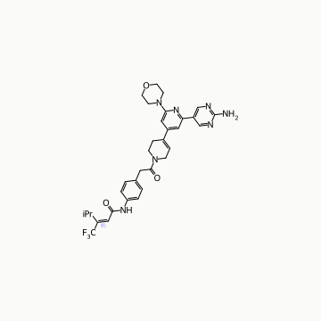 CC(C)/C(=C\C(=O)Nc1ccc(CC(=O)N2CC=C(c3cc(-c4cnc(N)nc4)nc(N4CCOCC4)c3)CC2)cc1)C(F)(F)F